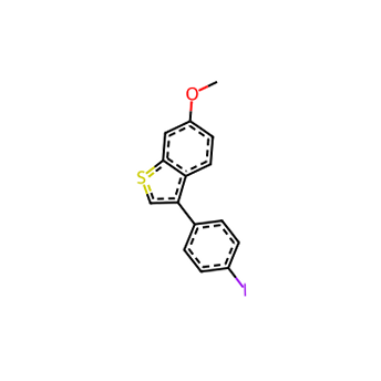 COc1ccc2c(-c3ccc(I)cc3)csc2c1